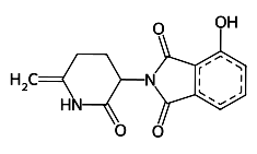 C=C1CCC(N2C(=O)c3cccc(O)c3C2=O)C(=O)N1